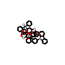 O=P1(c2ccccc2)c2ccccc2C2(c3ccccc3Oc3cc(-c4cccc(-n5c6ccccc6c6cccc(-c7ccc8c(c7)c7ccccc7n8-c7ccccc7)c65)c4)ccc32)c2cc3c(cc21)oc1ccccc13